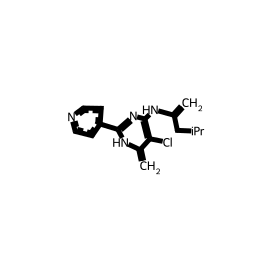 C=C(CC(C)C)NC1=C(Cl)C(=C)NC(c2ccncc2)=N1